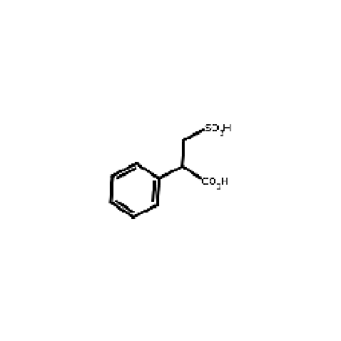 O=C(O)C(CS(=O)(=O)O)c1ccccc1